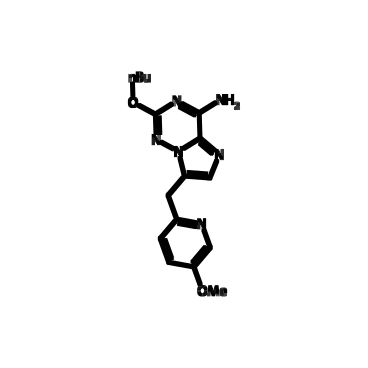 CCCCOc1nc(N)c2ncc(Cc3ccc(OC)cn3)n2n1